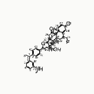 CNc1cccc([C@@H](C)c2ccc([C@@H]3O[C@@H]4CC5[C@@H]6C[C@H](CF)C7=CC(=O)C=C[C@]7(C)[C@@]6(F)[C@@H](O)C[C@]5(C)[C@]4(C(=O)CO)O3)cc2)c1